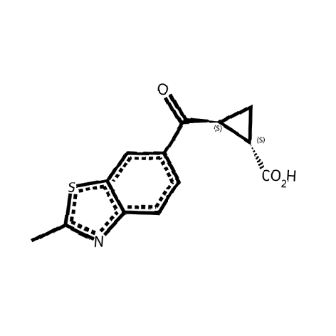 Cc1nc2ccc(C(=O)[C@H]3C[C@@H]3C(=O)O)cc2s1